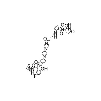 O=C1CCC(N2C(=O)c3cccc(NCCCCC(=O)N4CCN(C5CCN(c6ccc7c(c6)C(=O)N(C(C(=O)Nc6nccs6)c6cc(F)ccc6O)C7)CC5)CC4)c3C2=O)C(=O)N1